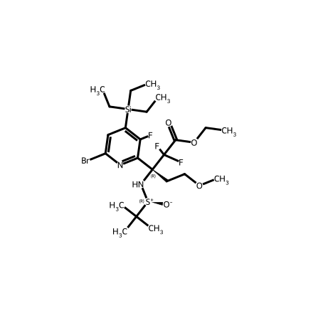 CCOC(=O)C(F)(F)[C@](CCOC)(N[S@@+]([O-])C(C)(C)C)c1nc(Br)cc([Si](CC)(CC)CC)c1F